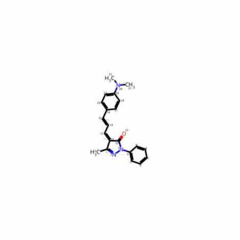 CC1=NN(c2ccccc2)C(=O)/C1=C\C=C\c1ccc(N(C)C)cc1